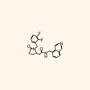 O=C(CC1CCC(=O)N1Cc1cccc(F)c1F)NCc1cccc2cnccc12